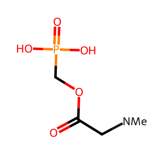 CNCC(=O)OCP(=O)(O)O